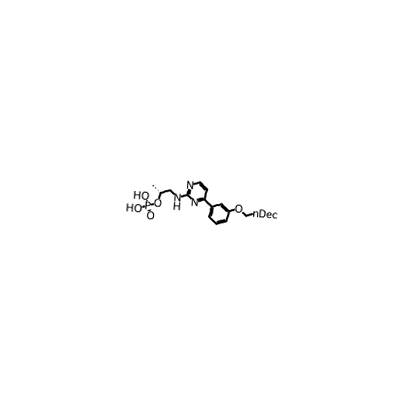 CCCCCCCCCCCOc1cccc(-c2ccnc(NC[C@@H](C)OP(=O)(O)O)n2)c1